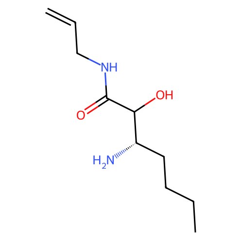 C=CCNC(=O)C(O)[C@@H](N)CCCC